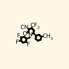 [C-]#[N+]c1c(C(F)(F)F)cc(-c2cccc(C)c2)n(Cc2cc(F)c(F)cc2F)c1=O